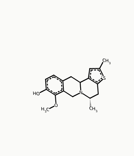 COc1c(O)ccc2c1CN1C(C2)c2cc(C)sc2C[C@@H]1C